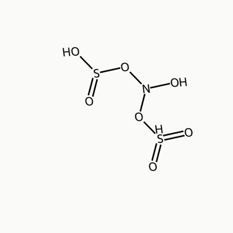 O=S(O)ON(O)O[SH](=O)=O